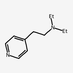 CCN(CC)CCc1ccncc1